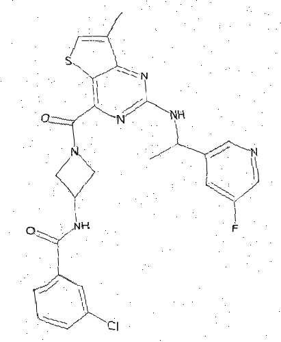 Cc1csc2c(C(=O)N3CC(NC(=O)c4cccc(Cl)c4)C3)nc(NC(C)c3cncc(F)c3)nc12